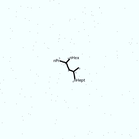 CCCCCCCC(C)[CH]C(CCC)CCCCCC